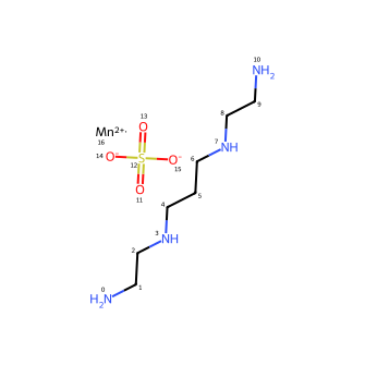 NCCNCCCNCCN.O=S(=O)([O-])[O-].[Mn+2]